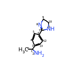 CC(N)c1ccc(C2=NCCN2)cc1